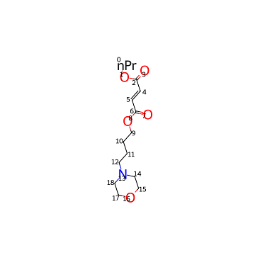 CCCOC(=O)C=CC(=O)OCCCCN1CCOCC1